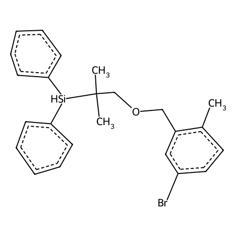 Cc1ccc(Br)cc1COCC(C)(C)[SiH](c1ccccc1)c1ccccc1